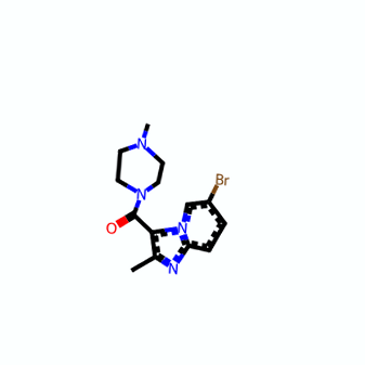 Cc1nc2ccc(Br)cn2c1C(=O)N1CCN(C)CC1